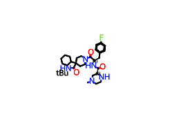 CN1CCN[C@H](C(=O)N[C@H](Cc2ccc(F)cc2)C(=O)N2CCC(C(=O)NC(C)(C)C)(C3CCCCC3)CC2)C1